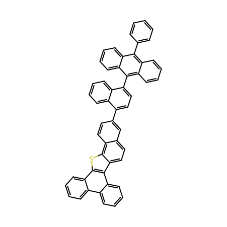 c1ccc(-c2c3ccccc3c(-c3ccc(-c4ccc5c(ccc6c5sc5c7ccccc7c7ccccc7c65)c4)c4ccccc34)c3ccccc23)cc1